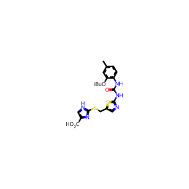 Cc1ccc(NC(=O)Nc2ncc(CSc3nc(C(=O)O)c[nH]3)s2)c(OCC(C)C)c1